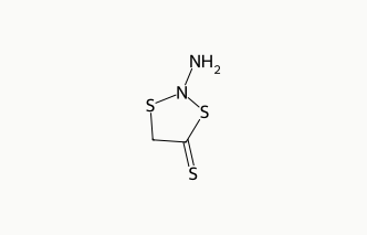 NN1SCC(=S)S1